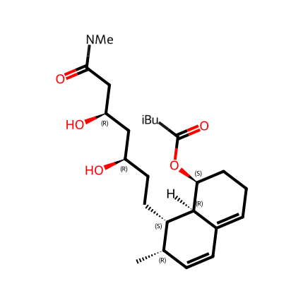 CCC(C)C(=O)O[C@H]1CCC=C2C=C[C@H](C)[C@H](CC[C@@H](O)C[C@@H](O)CC(=O)NC)[C@H]21